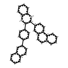 c1ccc2cc(-c3ccc(-c4nc5ccccc5nc4-c4ccc5c(ccc6ccccc65)c4)cc3)ccc2c1